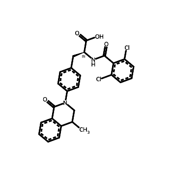 CC1CN(c2ccc(C[C@H](NC(=O)c3c(Cl)cccc3Cl)C(=O)O)cc2)C(=O)c2ccccc21